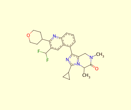 CC1C(=O)N(C)Cc2c(-c3cccc4nc(C5CCOCC5)c(C(F)F)cc34)nc(C3CC3)n21